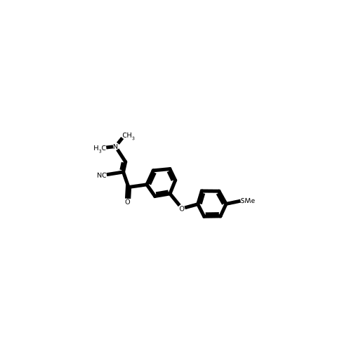 CSc1ccc(Oc2cccc(C(=O)C(C#N)=CN(C)C)c2)cc1